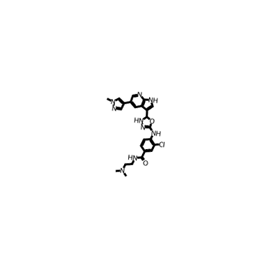 CN(C)CCNC(=O)c1ccc(NC2=NNC(c3c[nH]c4ncc(-c5cnn(C)c5)cc34)O2)c(Cl)c1